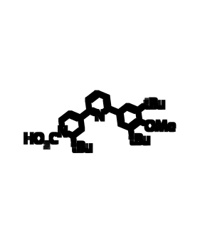 COc1c(C(C)(C)C)cc(-c2cccc(C3=CCN(C(=O)O)C(C(C)(C)C)C3)n2)cc1C(C)(C)C